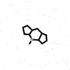 CN1C2CCCC2CC2CCCC21